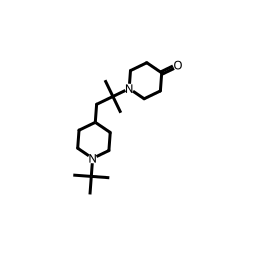 CC(C)(C)N1CCC(CC(C)(C)N2CCC(=O)CC2)CC1